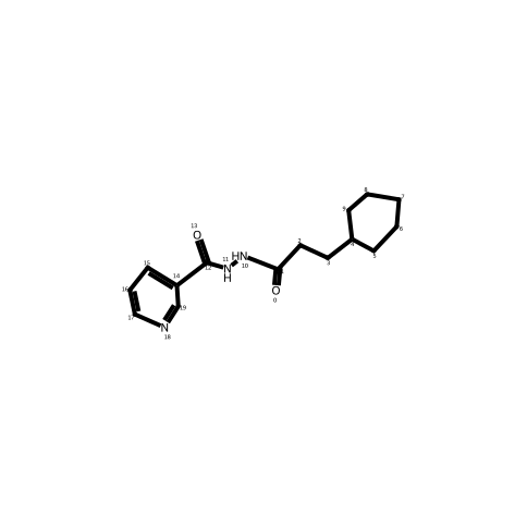 O=C(CCC1CCCCC1)NNC(=O)c1cccnc1